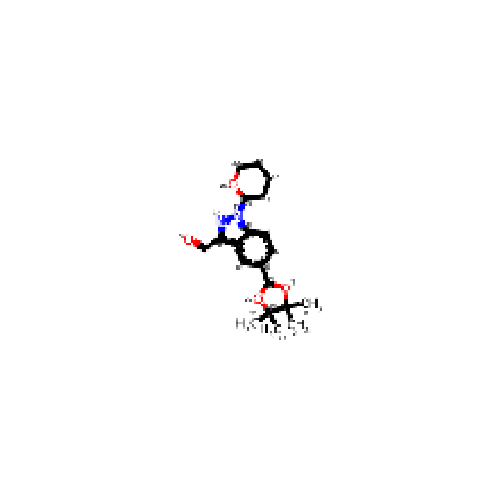 CC1(C)OC(c2ccc3c(c2)c(C=O)nn3C2CCCCO2)OC1(C)C